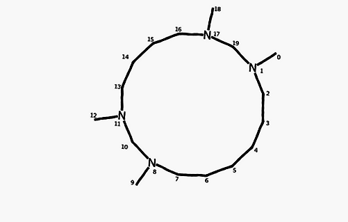 CN1CCCCCCN(C)CN(C)CCCCN(C)C1